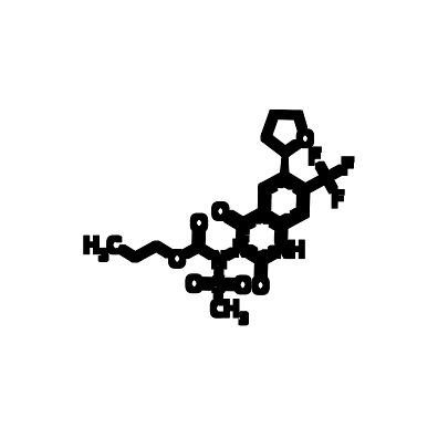 CCCOC(=O)N(n1c(=O)[nH]c2cc(C(F)(F)F)c([C@H]3CCCO3)cc2c1=O)S(C)(=O)=O